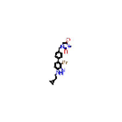 CN1C(=O)CN(Cc2ccc(-c3ccc4c(nnn4CCC4CC4)c3Br)cc2)C1=O